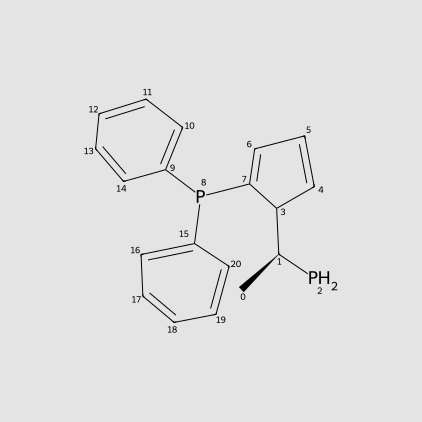 C[C@H](P)C1C=CC=C1P(c1ccccc1)c1ccccc1